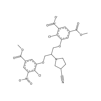 COC(=O)c1cc(OCC(COc2cc(C(=O)OC)cc([N+](=O)[O-])c2Cl)N2CCC(C#N)C2)c(Cl)c([N+](=O)[O-])c1